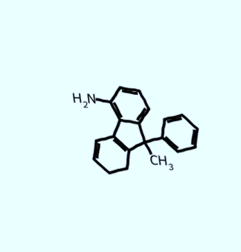 CC1(c2ccccc2)C2=C(C=CCC2)c2c(N)cccc21